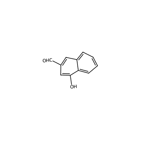 O=Cc1cc(O)c2ccccc2c1